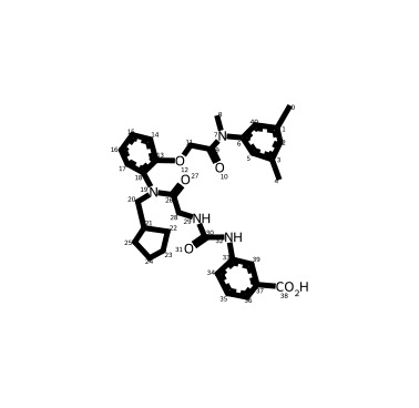 Cc1cc(C)cc(N(C)C(=O)COc2ccccc2N(CC2CCCC2)C(=O)CNC(=O)Nc2cccc(C(=O)O)c2)c1